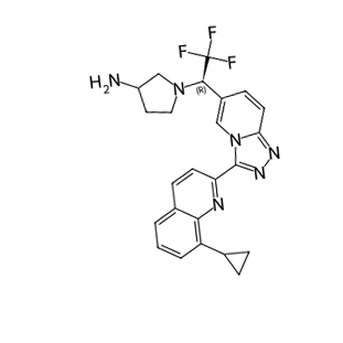 NC1CCN([C@H](c2ccc3nnc(-c4ccc5cccc(C6CC6)c5n4)n3c2)C(F)(F)F)C1